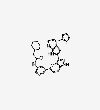 O=C(CC1CCCCC1)Nc1cncc(-c2ccc3[nH]nc(-c4cc5c(-c6cccs6)ccnc5[nH]4)c3n2)c1